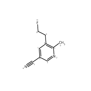 Cc1ncc(C#N)cc1CCF